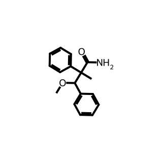 COC(c1ccccc1)C(C)(C(N)=O)c1ccccc1